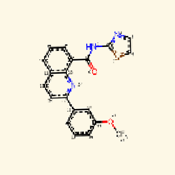 O=C(Nc1nccs1)c1cccc2ccc(-c3cccc(OC(F)(F)F)c3)nc12